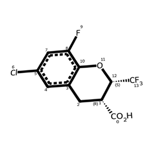 O=C(O)[C@@H]1Cc2cc(Cl)cc(F)c2O[C@@H]1C(F)(F)F